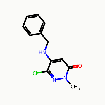 Cn1nc(Cl)c(NCc2ccccc2)cc1=O